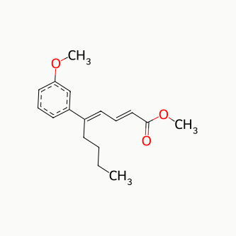 CCCCC(=CC=CC(=O)OC)c1cccc(OC)c1